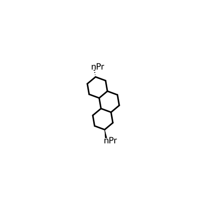 CCC[C@H]1CCC2C(CCC3C[C@@H](CCC)CCC32)C1